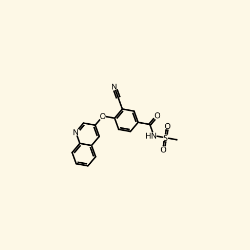 CS(=O)(=O)NC(=O)c1ccc(Oc2cnc3ccccc3c2)c(C#N)c1